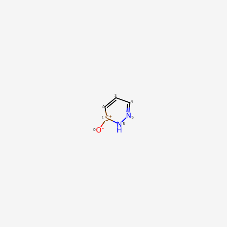 [O-][S+]1C=CC=NN1